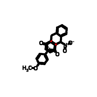 COc1ccc(N2C(=O)C3=C(C2=O)C2([N+](=O)[O-])c4ccccc4C3c3ccccc32)cc1